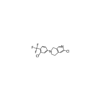 FC(F)(F)c1ccc(N2CCc3cc(Cl)ncc3C2)cc1Cl